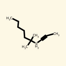 CC#C[SiH2]C(C)(C)CCCCC